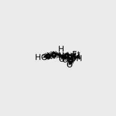 CCN(CC1CC1)[C@@H]1Cc2ccc(C(=O)NCCc3ccc(-c4ccc(O)cc4)cc3)c(O)c2C2CC(=O)CC[C@]21O